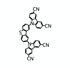 N#Cc1ccc2c(c1)c1cc(C#N)ccc1n2-c1ccc2sc3ccc(-n4c5ccc(C#N)cc5c5cc(C#N)ccc54)cc3c2c1